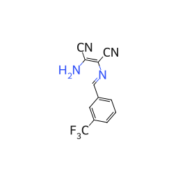 N#CC(N)=C(C#N)N=Cc1cccc(C(F)(F)F)c1